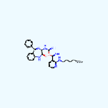 CNCCCCNc1ncccc1C(=N)OC(=N)NC1N=C(c2ccccc2)c2ccccc2NC1=O